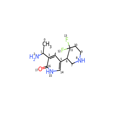 CC(N)c1cc(C2CNCCC2(F)F)c[nH]c1=O